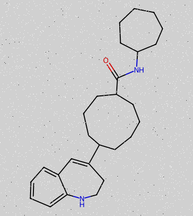 O=C(NC1CCCCCC1)C1CCCCC(C2=Cc3ccccc3NCC2)CCC1